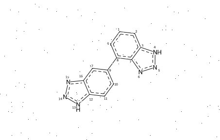 [c]1ccc2[nH]nnc2c1-c1ccc2[nH]nnc2c1